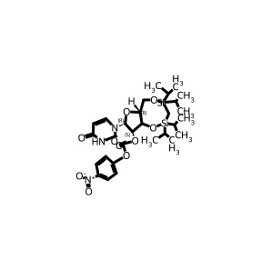 CC(C)[Si]1(C(C)C)C[Si](C(C)C)(C(C)C)OC2[C@@H](CO1)O[C@@H](n1ccc(=O)[nH]c1=O)[C@H]2OC(=O)Oc1ccc([N+](=O)[O-])cc1